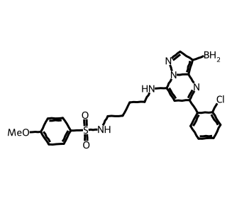 Bc1cnn2c(NCCCCNS(=O)(=O)c3ccc(OC)cc3)cc(-c3ccccc3Cl)nc12